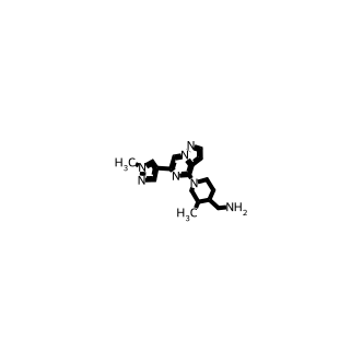 CC1CN(c2nc(-c3cnn(C)c3)cn3nccc23)CCC1CN